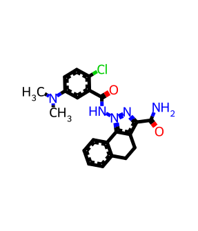 CN(C)c1ccc(Cl)c(C(=O)Nn2nc(C(N)=O)c3c2-c2ccccc2CC3)c1